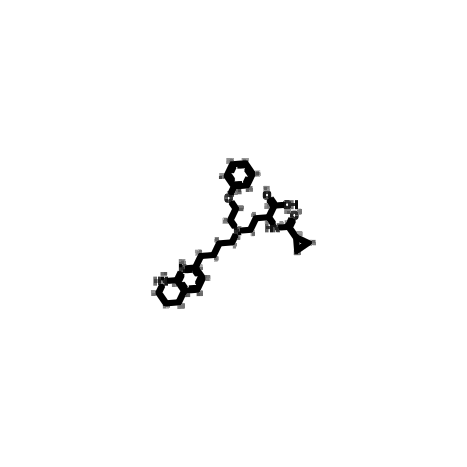 O=C(NC(CCN(CCCCc1ccc2c(n1)NCCC2)CCOc1ccccc1)C(=O)O)C1CC1